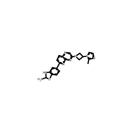 Cc1nccn1C1CN(c2cnc3ccc(-c4ccc5c(c4)NC(N)O5)nc3n2)C1